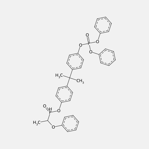 CC(Oc1ccccc1)[PH](=O)Oc1ccc(C(C)(C)c2ccc(OP(=O)(Oc3ccccc3)Oc3ccccc3)cc2)cc1